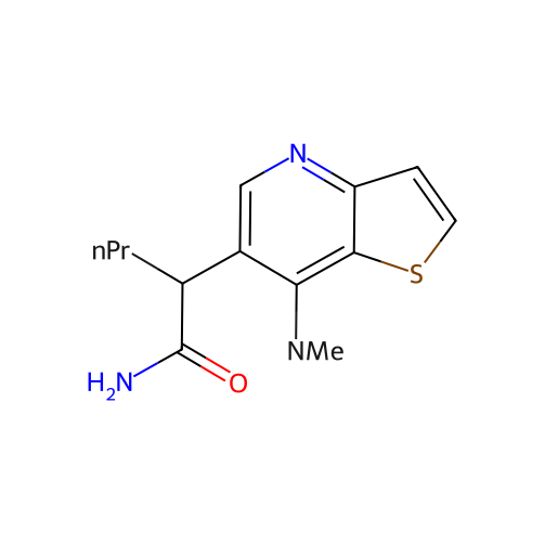 CCCC(C(N)=O)c1cnc2ccsc2c1NC